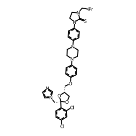 CC(C)CN1CCN(c2ccc(N3CCN(c4ccc(OC[C@@H]5CO[C@@](Cn6ccnc6)(c6ccc(Cl)cc6Cl)O5)cc4)CC3)cc2)C1=S